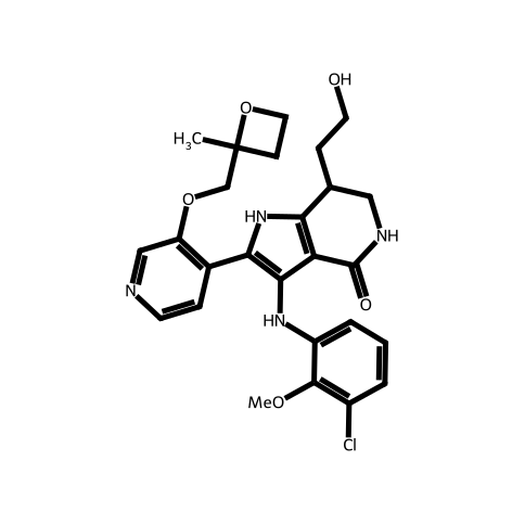 COc1c(Cl)cccc1Nc1c(-c2ccncc2OCC2(C)CCO2)[nH]c2c1C(=O)NCC2CCO